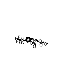 COCC(=O)OCCN(Cc1ccc(-c2noc(C(F)(F)F)n2)cc1)C(=O)COC